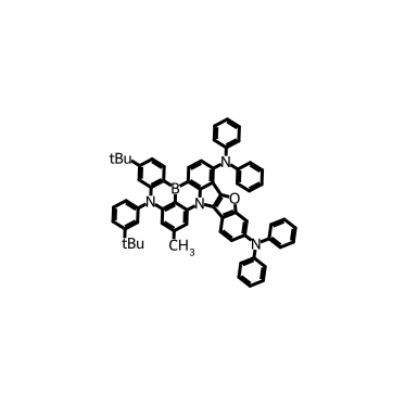 Cc1cc2c3c(c1)-n1c4c(ccc(N(c5ccccc5)c5ccccc5)c4c4oc5cc(N(c6ccccc6)c6ccccc6)ccc5c41)B3c1ccc(C(C)(C)C)cc1N2c1cccc(C(C)(C)C)c1